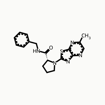 Cc1cnc2nc(N3CCC[C@@H]3C(=O)NCc3ccccc3)sc2n1